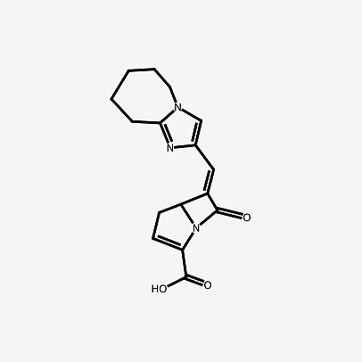 O=C(O)C1=CCC2/C(=C\c3cn4c(n3)CCCCC4)C(=O)N12